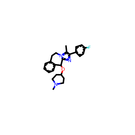 Cc1c(-c2ccc(F)cc2)nc2n1CCc1ccccc1C2OC1CCN(C)CC1